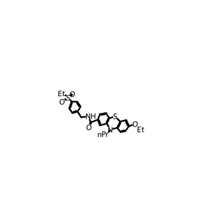 CCCN1c2ccc(OCC)cc2Sc2ccc(C(=O)NCc3ccc(S(=O)(=O)CC)cc3)cc21